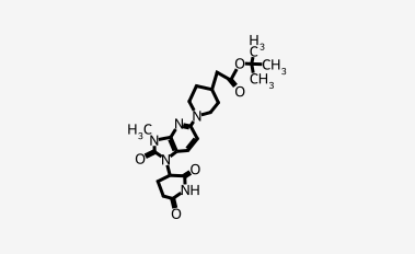 Cn1c(=O)n(C2CCC(=O)NC2=O)c2ccc(N3CCC(CC(=O)OC(C)(C)C)CC3)nc21